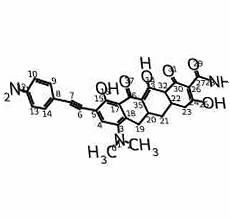 CN(C)c1cc(C#Cc2ccc(N)cc2)c(O)c2c1CC1CC3CC(O)=C(C(N)=O)C(=O)C3C(O)=C1C2=O